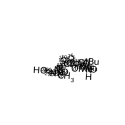 COc1nc(-c2cccc(-c3cccc(-c4cc5c(=O)n(C)c(CN6CC7(CC(O)C7)C6)nn5c4)c3Cl)c2Cl)ccc1CN(C[C@@H]1CCC(=O)N1)C(=O)OC(C)(C)C